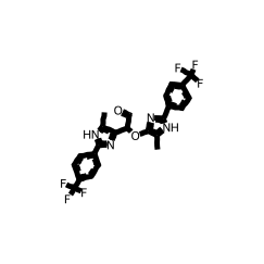 Cc1[nH]c(-c2ccc(C(F)(F)F)cc2)nc1OC(C=O)c1nc(-c2ccc(C(F)(F)F)cc2)[nH]c1C